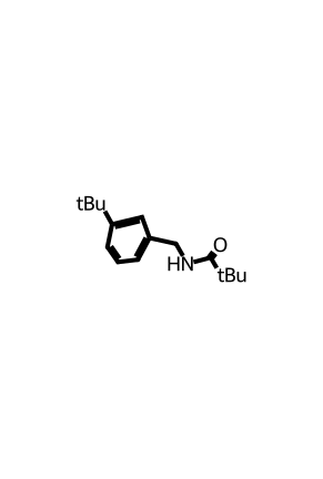 CC(C)(C)C(=O)NCc1cccc(C(C)(C)C)c1